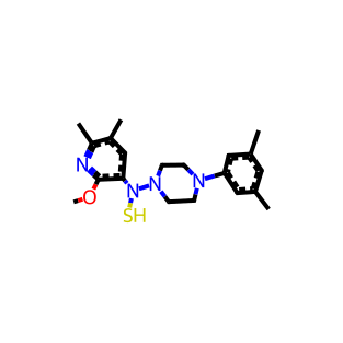 COc1nc(C)c(C)cc1N(S)N1CCN(c2cc(C)cc(C)c2)CC1